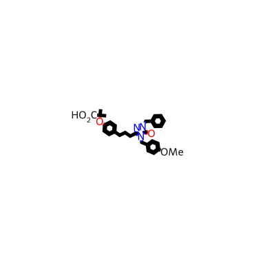 COc1ccc(Cn2c(CCCc3ccc(OC(C)(C)C(=O)O)cc3)nn(Cc3ccccc3)c2=O)cc1